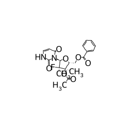 CC(=O)O[C@]1(C)[C@@H](COC(=O)c2ccccc2)O[C@H](n2c(=O)cc[nH]c2=O)[C@]1(C)F